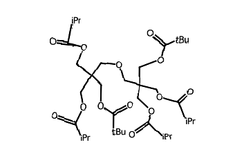 CC(C)C(=O)OCC(COCC(COC(=O)C(C)C)(COC(=O)C(C)C)COC(=O)C(C)(C)C)(COC(=O)C(C)C)COC(=O)C(C)(C)C